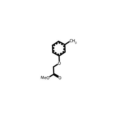 COC(=O)COc1cccc(C)c1